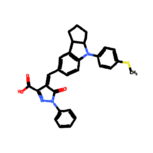 CSc1ccc(N2c3ccc(/C=C4\C(=O)N(c5ccccc5)N=C4C(=O)O)cc3C3CCCC32)cc1